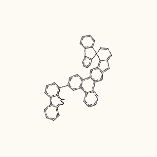 C1=CC2(C3=c4cc5c6ccc(-c7cccc8c7sc7ccccc78)cc6c6ccccc6c5cc4=CC3=C1)c1ccccc1-c1ccccc12